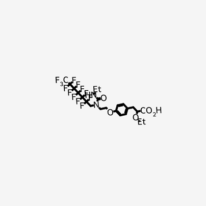 CCNC(=O)N(CCOc1ccc(CC(OCC)C(=O)O)cc1)CC(F)(F)C(F)(F)C(F)(F)C(F)(F)C(F)(F)C(F)(F)F